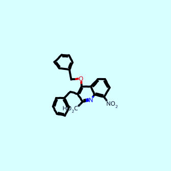 O=C(O)c1nc2c([N+](=O)[O-])cccc2c(OCc2ccccc2)c1Cc1ccccc1